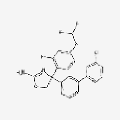 NC1=NC(c2cccc(-c3cccc(Cl)c3)c2)(c2ccc(OC(F)F)cc2F)CO1